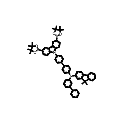 CC1(C)c2ccccc2-c2ccc(N(c3ccc(-c4ccc(-n5c6ccc(B7OC(C)(C)C(C)(C)O7)cc6c6cc(B7OC(C)(C)C(C)(C)O7)ccc65)cc4)cc3)c3cccc(-c4ccccc4)c3)cc21